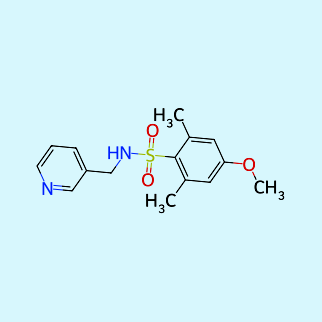 COc1cc(C)c(S(=O)(=O)NCc2cccnc2)c(C)c1